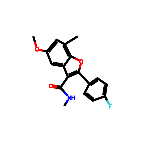 CNC(=O)c1c(-c2ccc(F)cc2)oc2c(C)cc(OC)cc12